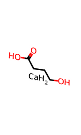 O=C(O)CCCO.[CaH2]